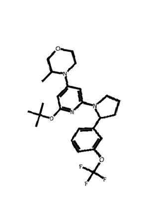 CC1COCCN1c1cc(OC(C)(C)C)nc(N2CCCC2c2cccc(OC(F)(F)F)c2)c1